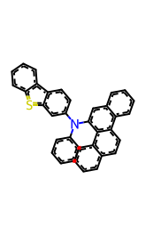 c1ccc(N(c2ccc3c(c2)sc2ccccc23)c2cc3ccccc3c3ccc4ccccc4c23)cc1